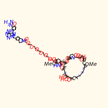 CO[C@H]1C[C@@H]2CC[C@@H](C)[C@@](O)(O2)C(=O)C(=O)N2CCCC[C@H]2C(=O)O[C@H]([C@H](C)C[C@@H]2CC[C@@H](O)[C@H](OC)C2)C[C@@H](OC(=O)NCCOCCOCCOCCOCCOCCOCCOCC(=O)N2CCc3cc(Cn4nc(-c5ccc6oc(N)nc6c5)c5c(N)ncnc54)ccc3C2)[C@H](C)/C=C(\C)[C@@H](O)[C@@H](O)C(=O)[C@H](C)C[C@H](C)/C=C/C=C/C=C/1C